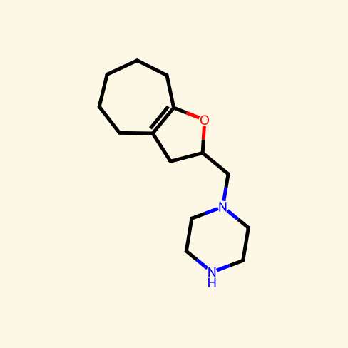 C1CCC2=C(CC1)OC(CN1CCNCC1)C2